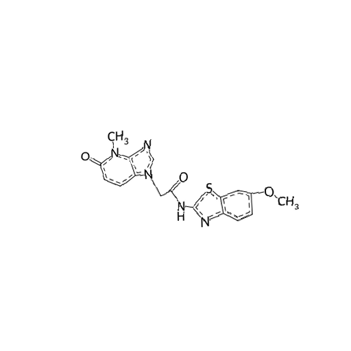 COc1ccc2nc(NC(=O)Cn3cnc4c3ccc(=O)n4C)sc2c1